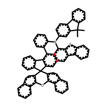 CC1(C)c2ccccc2-c2ccc(N(c3ccccc3-c3cccc4c3-c3ccccc3C43c4ccc5ccccc5c4Oc4c3ccc3ccccc43)c3cccc4c3sc3ccccc34)cc21